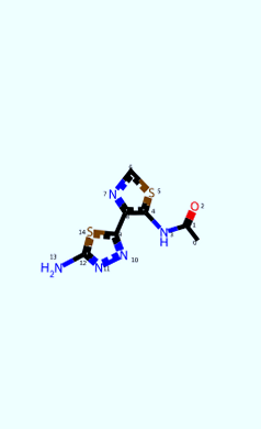 CC(=O)Nc1scnc1-c1nnc(N)s1